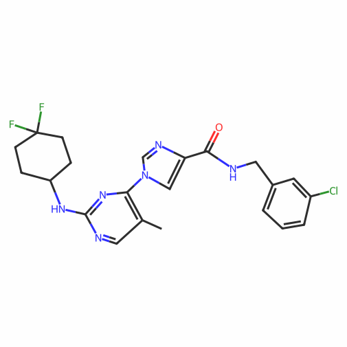 Cc1cnc(NC2CCC(F)(F)CC2)nc1-n1cnc(C(=O)NCc2cccc(Cl)c2)c1